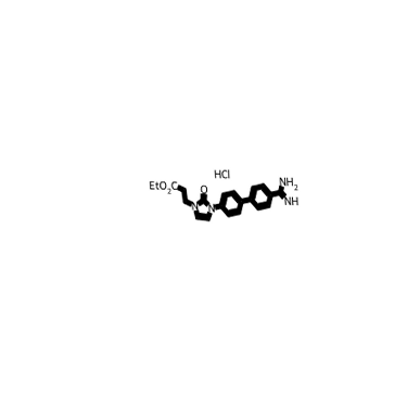 CCOC(=O)CCn1ccn(-c2ccc(-c3ccc(C(=N)N)cc3)cc2)c1=O.Cl